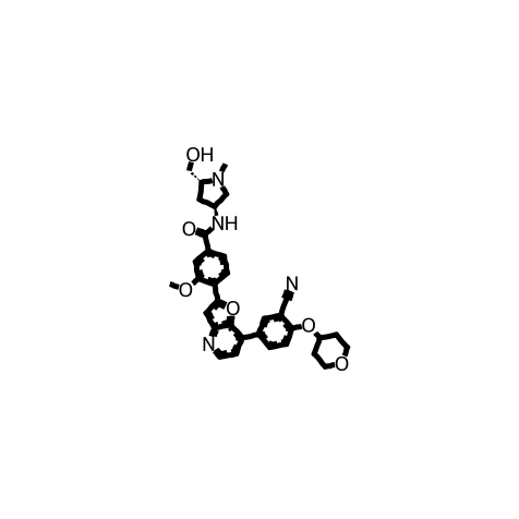 COc1cc(C(=O)N[C@H]2C[C@H](CO)N(C)C2)ccc1-c1cc2nccc(-c3ccc(OC4CCOCC4)c(C#N)c3)c2o1